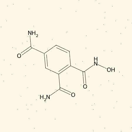 NC(=O)c1ccc(C(=O)NO)c(C(N)=O)c1